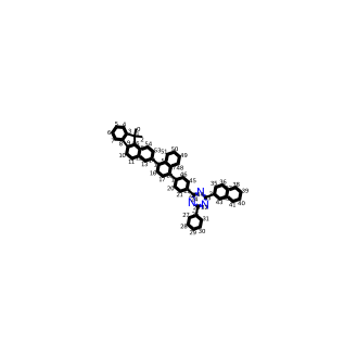 CC1(C)c2ccccc2-c2ccc3cc(-c4ccc(-c5ccc(-c6nc(-c7ccccc7)nc(-c7ccc8ccccc8c7)n6)cc5)c5ccccc45)ccc3c21